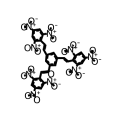 O=[N+]([O-])c1cc([N+](=O)[O-])c(C=Cc2cc(C=Cc3c([N+](=O)[O-])cc([N+](=O)[O-])cc3[N+](=O)[O-])cc(C=Cc3c([N+](=O)[O-])cc([N+](=O)[O-])cc3[N+](=O)[O-])c2)c([N+](=O)[O-])c1